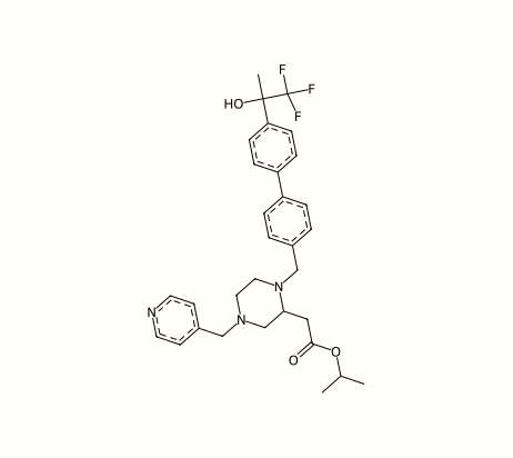 CC(C)OC(=O)CC1CN(Cc2ccncc2)CCN1Cc1ccc(-c2ccc(C(C)(O)C(F)(F)F)cc2)cc1